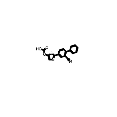 N#Cc1cc(-c2ncc(OC(=O)O)s2)ccc1-c1ccccc1